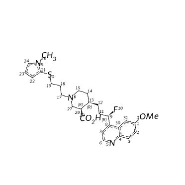 COc1ccc2nccc([C@H](F)CC[C@@H]3CCN(CCCSc4cccn4C)C[C@@H]3C(=O)O)c2c1